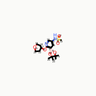 CC1(C)OB(c2cc(NS(C)(=O)=O)cnc2OC2CCOCC2)OC1(C)C